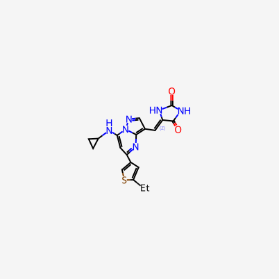 CCc1cc(-c2cc(NC3CC3)n3ncc(/C=C4\NC(=O)NC4=O)c3n2)cs1